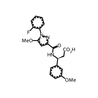 COc1cccc([C@H](CC(=O)O)NC(=O)c2cc(OC)n(-c3ccccc3F)n2)c1